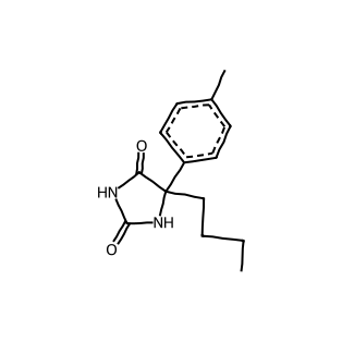 CCCCC1(c2ccc(C)cc2)NC(=O)NC1=O